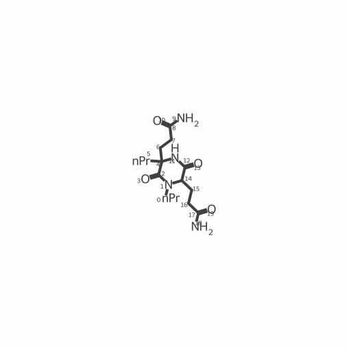 CCCN1C(=O)C(CCC)(CCC(N)=O)NC(=O)C1CCC(N)=O